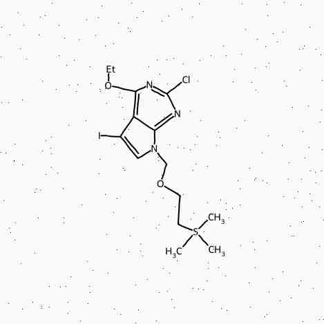 CCOc1nc(Cl)nc2c1c(I)cn2COCCS(C)(C)C